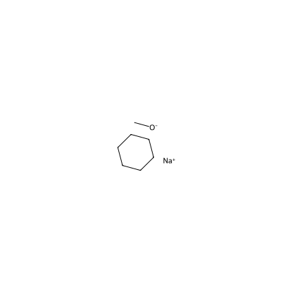 C1CCCCC1.C[O-].[Na+]